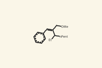 CCCCCC(CC)C([C]OC)=Cc1ccccc1